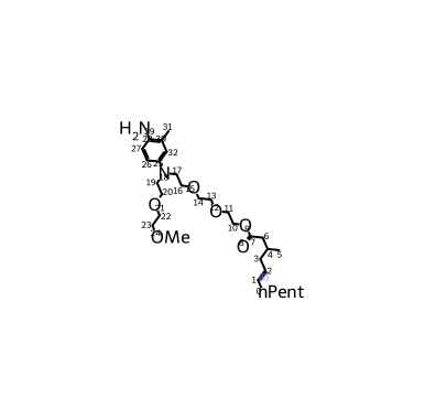 CCCCC/C=C/CC(C)CC(=O)OCCOCCOCCN(CCOCCOC)c1ccc(N)c(C)c1